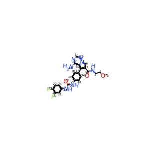 COCCNC(=O)c1cn2ncnc(N)c2c1-c1ccc(NC(=O)Nc2ccc(F)c(F)c2)cc1